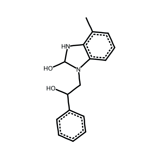 Cc1cccc2c1NC(O)N2CC(O)c1ccccc1